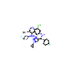 N#Cc1cnc2c(Cl)cc(NC(c3ccc(F)cc3)c3cn(C4CC4)nn3)cc2c1NC1CC(F)(F)C1